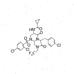 O=C(NC1CN(S(=O)(=O)c2ccc(Cl)cc2Cl)C2CN(CC(F)(F)F)C(=O)C(Cc3ccc(Cl)cc3)N2C1=O)C1CC1